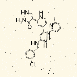 Cc1cccc(N/C(=C\C(=N)NCc2cccc(Cl)c2)C2=C/C(=C(/C=N)C(N)=O)NC=C2)n1